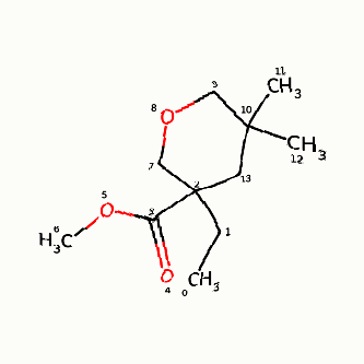 CCC1(C(=O)OC)COCC(C)(C)C1